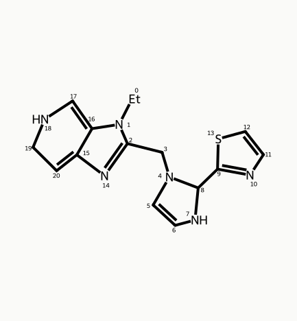 CCn1c(CN2C=CNC2c2nccs2)nc2c1=CNCC=2